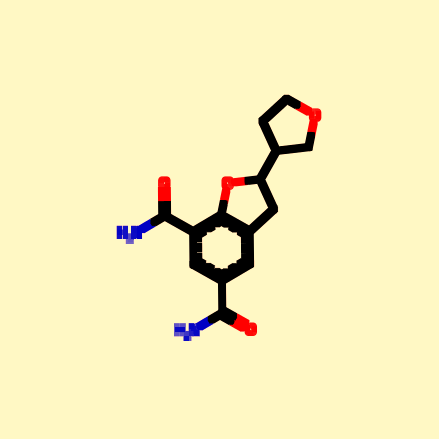 NC(=O)c1cc2c(c(C(N)=O)c1)OC(C1CCOC1)C2